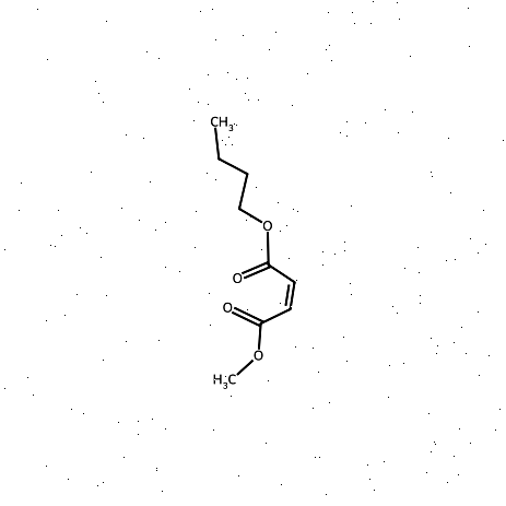 CCCCOC(=O)/C=C\C(=O)OC